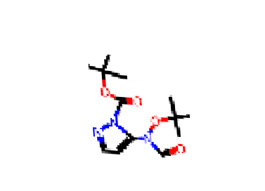 CC(C)(C)OC(=O)n1nccc1N(C=O)OC(C)(C)C